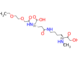 CCOCCOCC(=O)N[C@@H](CCC(=O)NCCCC[C@H](NC)C(=O)CO)C(=O)O